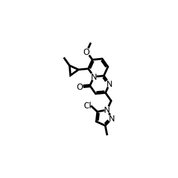 COc1ccc2nc(Cn3nc(C)cc3Cl)cc(=O)n2c1C1CC1C